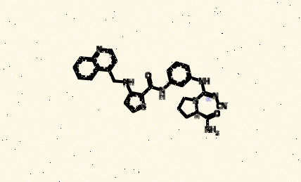 N#C/N=C(/Nc1cccc(NC(=O)c2sccc2NCc2ccnc3ccccc23)c1)N1CCC[C@@H]1C(N)=O